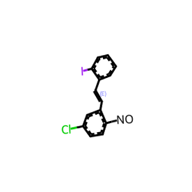 O=Nc1ccc(Cl)cc1/C=C/c1ccccc1I